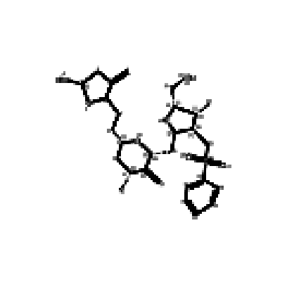 C=C1C[C@H](CCCC)OC1CC[C@H]1C[C@@H](C)C(=C)[C@@H](CC2O[C@H](C[C@H](C)CC)[C@H](C)[C@H]2CS(=O)(=O)c2ccccc2)O1